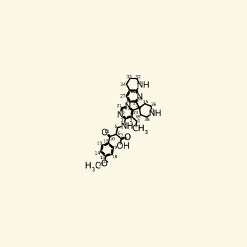 CCc1c(NCC(C(=O)O)C(=O)c2ccc(OC)cc2)ncnc1C1(c2ccc3c(n2)NCCC3)CCNCC1